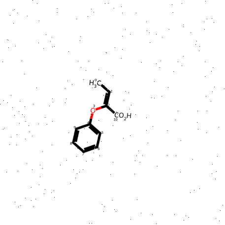 C/C=C(\Oc1ccccc1)C(=O)O